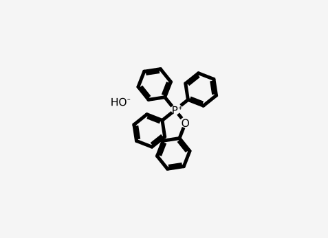 [OH-].c1ccc(O[P+](c2ccccc2)(c2ccccc2)c2ccccc2)cc1